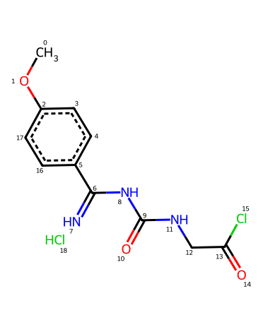 COc1ccc(C(=N)NC(=O)NCC(=O)Cl)cc1.Cl